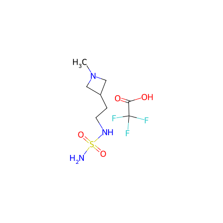 CN1CC(CCNS(N)(=O)=O)C1.O=C(O)C(F)(F)F